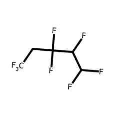 FC(F)C(F)C(F)(F)CC(F)(F)F